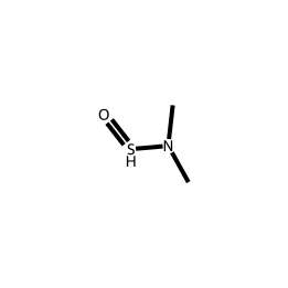 CN(C)[SH]=O